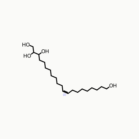 OCCCCCCCC/C=C\CCCCCCCCC(O)C(O)CO